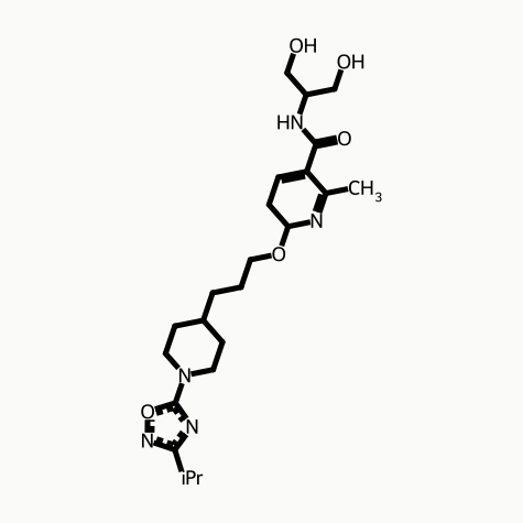 CC1=NC(OCCCC2CCN(c3nc(C(C)C)no3)CC2)CC=C1C(=O)NC(CO)CO